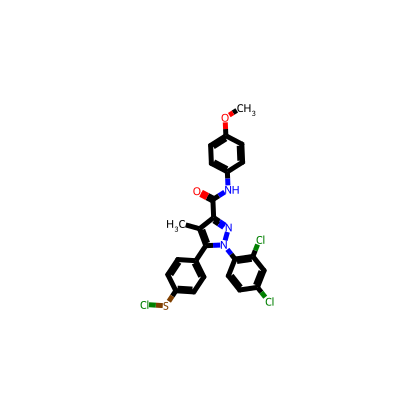 COc1ccc(NC(=O)c2nn(-c3ccc(Cl)cc3Cl)c(-c3ccc(SCl)cc3)c2C)cc1